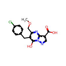 COCc1nc2c(C(=O)O)cnn2c(O)c1Cc1ccc(Cl)cc1